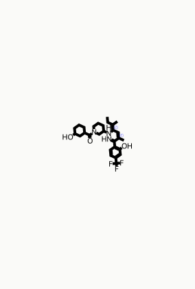 CC/C(C)=C(/C=C(/C)C(=N)c1ccc(C(F)(F)F)cc1O)NC1CCCN(C(=O)C2CCCC(O)C2)C1